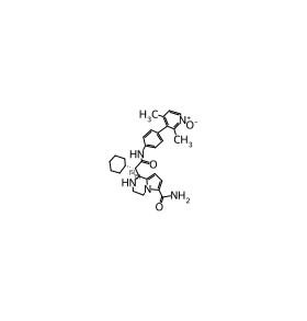 Cc1cc[n+]([O-])c(C)c1-c1ccc(NC(=O)[C@@H](C2CCCCC2)[C@@H]2NCCn3c(C(N)=O)ccc32)cc1